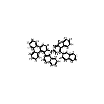 c1ccc2cc(-c3nc(-n4c5ccc6c7ccccc7c7ccccc7c6c5c5ccc6ccccc6c54)nc4sc5ccccc5c34)ccc2c1